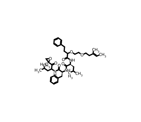 C/C=C(\C)CCOCCOC(CCc1ccccc1)C(=O)N[C@@H](CC(C)C)C(=O)N[C@@H](Cc1ccccc1)C(=O)NC(CC(C)C)C(=O)[C@@]1(C)CO1